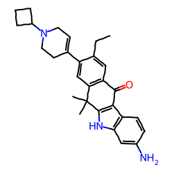 CCc1cc2c(cc1C1=CCN(C3CCC3)CC1)C(C)(C)c1[nH]c3cc(N)ccc3c1C2=O